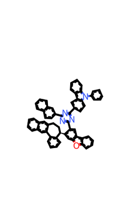 c1ccc(-n2c3ccccc3c3cc(-c4nc(-c5ccc6ccccc6c5)nc(-c5cc6c(cc5[C@@H]5CCc7cc8ccccc8cc7-c7ccccc75)oc5ccccc56)n4)ccc32)cc1